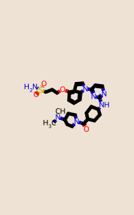 CN(C)C1CCN(C(=O)C2CCC(Nc3nccc(-n4ccc5c(OCCCS(N)(=O)=O)cccc54)n3)CC2)CC1